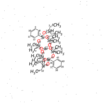 CC[SiH](CC)O[Si]1(c2ccccc2)O[Si](C)(C)O[Si]2(O[Si](C)(C)O1)O[Si](C)(C)O[Si](O[SiH](CC)CC)(c1ccccc1)O[Si](C)(C)O2